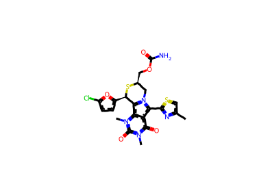 Cc1csc(-c2c3c(=O)n(C)c(=O)n(C)c3c3n2C[C@H](COC(N)=O)S[C@@H]3c2ccc(Cl)o2)n1